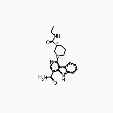 CCNC(=O)[C@H]1CCCN(c2ncc(C(N)=O)c3[nH]c4ccccc4c23)C1